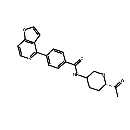 CC(=O)[C@@H]1CCC(NC(=O)c2ccc(-c3nccc4occc34)cc2)CO1